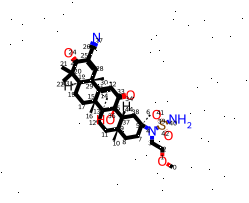 COCCN([C@@]1(C)CC[C@]2(C)CC[C@@]3(C)[C@]4(C)CC[C@H]5C(C)(C)C(=O)C(C#N)=C[C@]5(C)C4=CC(=O)[C@]3(O)[C@@H]2C1)S(N)(=O)=O